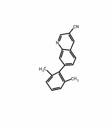 Cc1cccc(C)c1-c1ccc2cc(C#N)cnc2c1